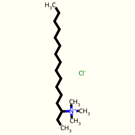 CCCCCCCCCCCCCC(CC)[N+](C)(C)C.[Cl-]